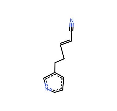 N#CC=CCCc1cccnc1